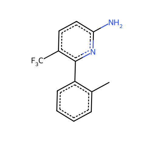 Cc1ccccc1-c1nc(N)ccc1C(F)(F)F